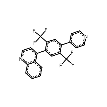 FC(F)(F)c1cc(-c2ccnc3ccccc23)c(C(F)(F)F)cc1-c1ccncc1